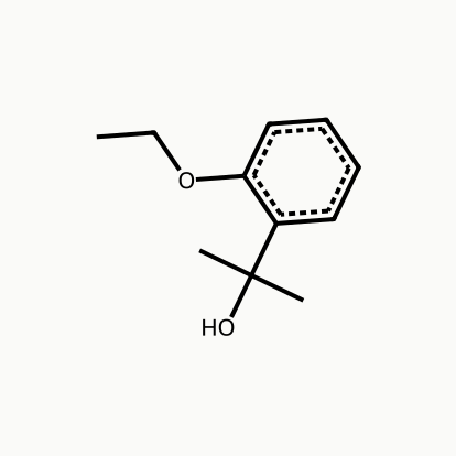 CCOc1ccccc1C(C)(C)O